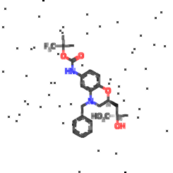 CC(C)(OC(=O)Nc1ccc2c(c1)N(Cc1ccccc1)C[C@H](C[C@@](C)(O)C(=O)O)O2)C(F)(F)F